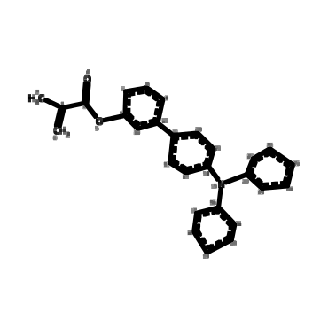 C=C(C)C(=O)Oc1cccc(-c2ccc(N(c3ccccc3)c3ccccc3)cc2)c1